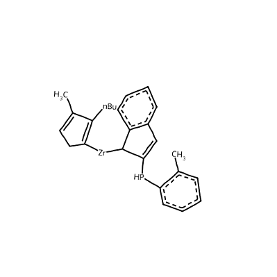 CCCCC1=[C]([Zr][CH]2C(Pc3ccccc3C)=Cc3ccccc32)CC=C1C